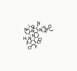 C=CC(=O)N1[C@H](C)CN(c2c(C#N)c(=O)n(-c3c(C)ccnc3C(C)C)c3nc(-c4c(N)c(F)c(Cl)c(F)c4Cl)c(Cl)cc23)C[C@@H]1C